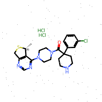 C[C@H]1SCc2ncnc(N3CCN(C(=O)C4(c5cccc(Cl)c5)CCNCC4)CC3)c21.Cl.Cl